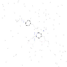 CC1CN(c2nc(SCCc3ccc(N)cc3)c(C#N)c3c2COC(C(C)C)C3)CC(C)O1